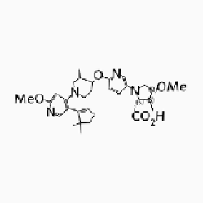 COc1cc(N2CCC(Oc3ccc(N4C[C@H](OC)[C@@H](C)[C@@H]4CC(=O)O)cn3)C(C)C2)c(C2=CCCC2(C)C)cn1